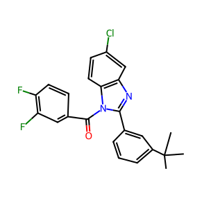 CC(C)(C)c1cccc(-c2nc3cc(Cl)ccc3n2C(=O)c2ccc(F)c(F)c2)c1